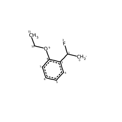 [CH2]C(F)c1ccccc1OCC